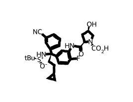 CC(C)(C)[S@@+]([O-])N[C@](CCC1CC1)(c1cccc(C#N)c1)c1ccc(F)c(NC(=O)[C@H]2C[C@@H](O)CN2C(=O)O)c1